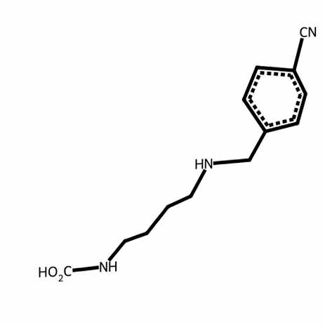 N#Cc1ccc(CNCCCCNC(=O)O)cc1